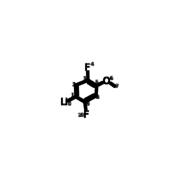 [Li][c]1cc(F)c(OC)cc1F